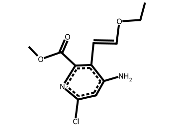 CCOC=Cc1c(N)cc(Cl)nc1C(=O)OC